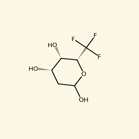 OC1C[C@H](O)[C@H](O)[C@H](C(F)(F)F)O1